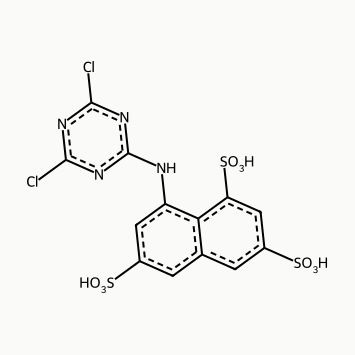 O=S(=O)(O)c1cc(Nc2nc(Cl)nc(Cl)n2)c2c(S(=O)(=O)O)cc(S(=O)(=O)O)cc2c1